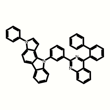 c1ccc(-c2ccccc2-c2nc(-c3cccc(-n4c5ccccc5c5ccc6c(ccn6-c6ccccc6)c54)c3)nc3ccccc23)cc1